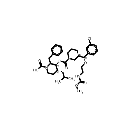 COC(=O)NCCO[C@@H](c1cccc(Cl)c1)[C@@H]1CCCN(C(=O)O[C@@H]2C(Cc3ccccc3)N(C(=O)O)CC[C@H]2CC(C)C)C1